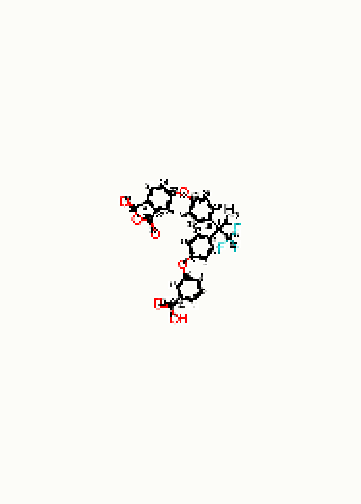 CC(c1ccc(Oc2cccc(C(=O)O)c2)cc1)(c1ccc(Oc2ccc3c(c2)C(=O)OC3=O)cc1)C(F)(F)F